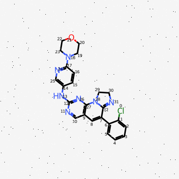 Clc1ccccc1C1=Cc2cnc(Nc3ccc(N4CCOCC4)nc3)nc2N2CCN=C12